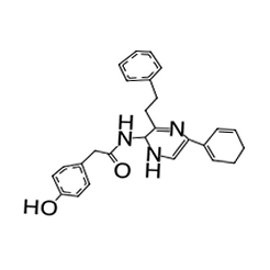 O=C(Cc1ccc(O)cc1)NC1NC=C(C2=CCCC=C2)N=C1CCc1ccccc1